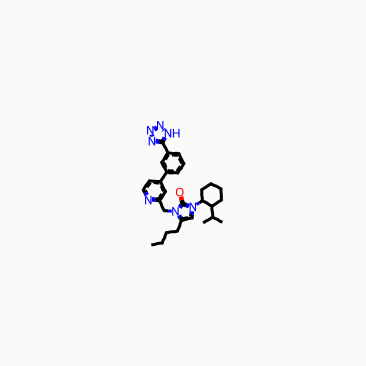 CCCCc1cn(C2CCCCC2C(C)C)c(=O)n1Cc1cc(-c2cccc(-c3nnn[nH]3)c2)ccn1